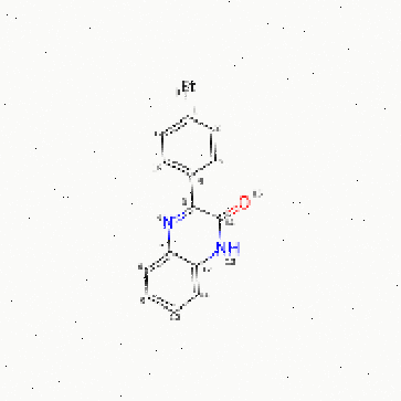 CCc1ccc(-c2nc3ccccc3[nH]c2=O)cc1